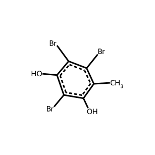 Cc1c(O)c(Br)c(O)c(Br)c1Br